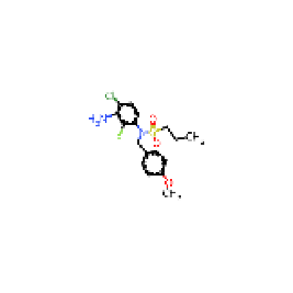 CCCS(=O)(=O)N(Cc1ccc(OC)cc1)c1ccc(Cl)c(N)c1F